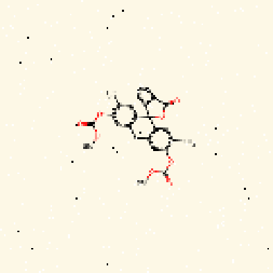 Cc1cc2c(cc1OC(=O)OC(C)(C)C)Cc1cc(OC(=O)OC(C)(C)C)c(C)cc1C21OC(=O)c2ccccc21